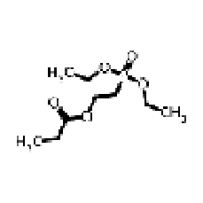 CCOP(=O)(CCOC(=O)CC)OCC